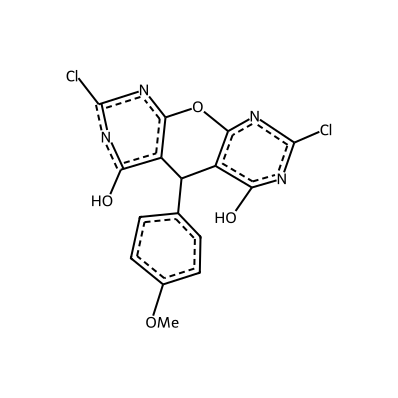 COc1ccc(C2c3c(O)nc(Cl)nc3Oc3nc(Cl)nc(O)c32)cc1